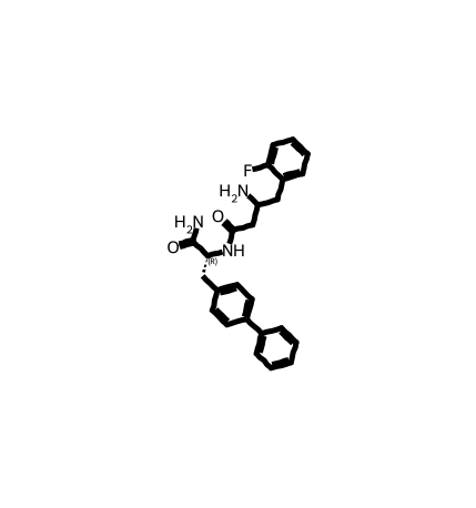 NC(=O)[C@@H](Cc1ccc(-c2ccccc2)cc1)NC(=O)CC(N)Cc1ccccc1F